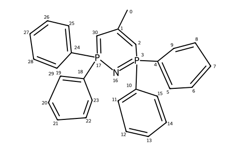 CC1=CP(c2ccccc2)(c2ccccc2)=NP(c2ccccc2)(c2ccccc2)=C1